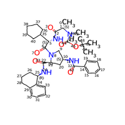 C[C@@H](C(=O)N[C@H](C(=O)N1C[C@@H](NC(=O)c2ccccc2)C[C@H]1C(=O)N[C@@H]1CCCc2ccccc21)C1CCCCC1)N(C)C(=O)OC(C)(C)C